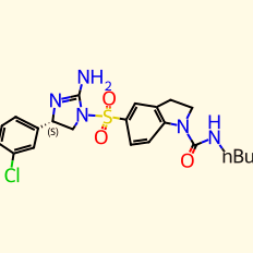 CCCCNC(=O)N1CCc2cc(S(=O)(=O)N3C[C@H](c4cccc(Cl)c4)N=C3N)ccc21